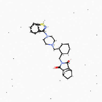 O=C1C2C3CCC(CC3)C2C(=O)N1CC1CCCCC1CN1CCN(c2nsc3ccccc23)CC1